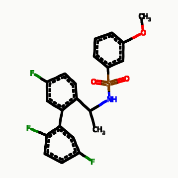 COc1cccc(S(=O)(=O)NC(C)c2ccc(F)cc2-c2cc(F)ccc2F)c1